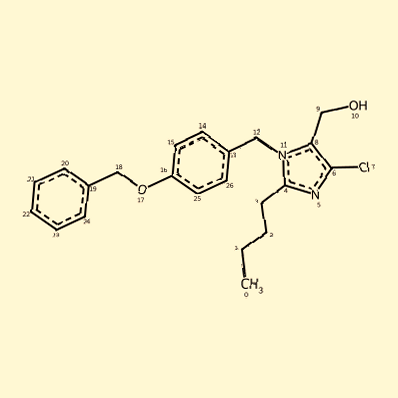 CCCCc1nc(Cl)c(CO)n1Cc1ccc(OCc2ccccc2)cc1